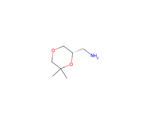 CC1(C)COC[C@H](CN)O1